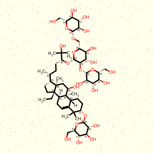 CC[C@@]12CC[C@H]([C@H](C)CC[C@@H](O[C@@H]3O[C@H](CO[C@@H]4O[C@H](CO)[C@@H](O)[C@H](O)[C@H]4O)[C@@H](O)[C@H](O)[C@H]3O[C@@H]3O[C@H](CO)[C@@H](O)[C@H](O)[C@H]3O)C(C)(C)O)[C@@]1(C)C[C@@H](O)[C@@]1(C)[C@@H]3CC[C@H](O[C@@H]4O[C@H](CO)[C@@H](O)[C@H](O)[C@H]4O)C(C)(C)C3=CC[C@H]12